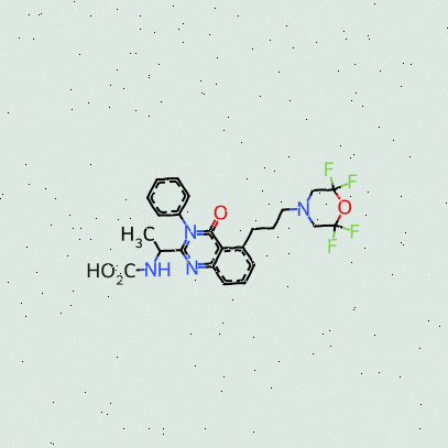 CC(NC(=O)O)c1nc2cccc(CCCN3CC(F)(F)OC(F)(F)C3)c2c(=O)n1-c1ccccc1